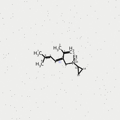 C=C(C)/C(=C\C=C(C)C)CN(CC)C1CC1